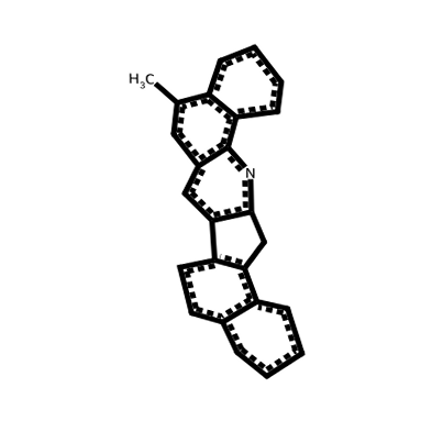 Cc1cc2cc3c(nc2c2ccccc12)Cc1c-3ccc2ccccc12